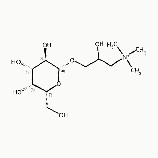 C[N+](C)(C)CC(O)CO[C@@H]1O[C@H](CO)[C@H](O)[C@H](O)[C@H]1O